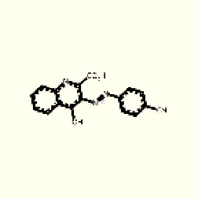 N#Cc1ccc(/N=N/c2c(C(=O)O)nc3ccccc3c2O)cc1